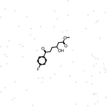 COC(=O)CC(O)CCC(=O)c1ccc(F)cc1